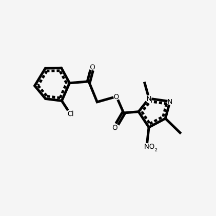 Cc1nn(C)c(C(=O)OCC(=O)c2ccccc2Cl)c1[N+](=O)[O-]